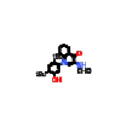 CC(C)(C)c1cc(C(C)(C)C)c(-n2cc(NC=O)c(=O)c3ccccc32)cc1O